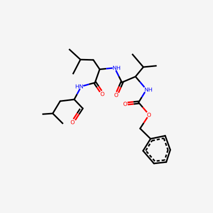 CC(C)CC(C=O)NC(=O)C(CC(C)C)NC(=O)C(NC(=O)OCc1ccccc1)C(C)C